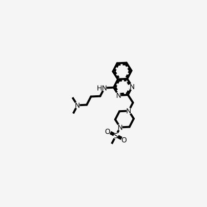 CN(C)CCCNc1nc(CN2CCN(S(C)(=O)=O)CC2)nc2ccccc12